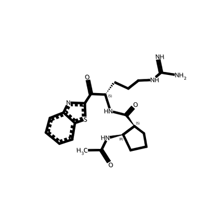 CC(=O)N[C@@H]1CCC[C@@H]1C(=O)N[C@@H](CCCNC(=N)N)C(=O)c1nc2ccccc2s1